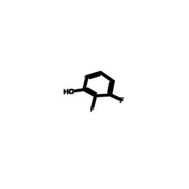 Oc1[c]ccc(F)c1F